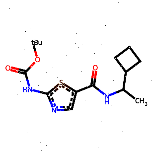 CC(NC(=O)c1cnc(NC(=O)OC(C)(C)C)s1)C1CCC1